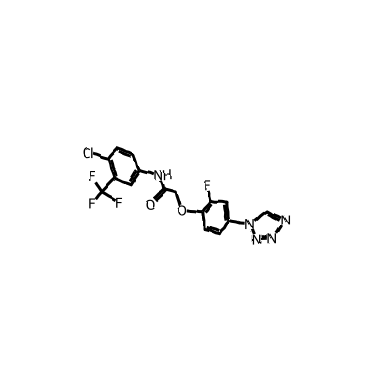 O=C(COc1ccc(-n2cnnn2)cc1F)Nc1ccc(Cl)c(C(F)(F)F)c1